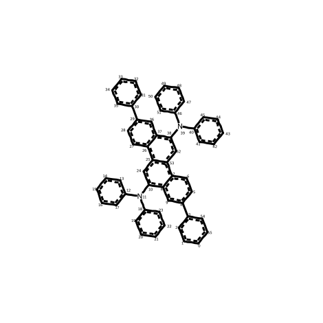 c1ccc(-c2ccc3c(c2)c(N(c2ccccc2)c2ccccc2)cc2c4ccc(-c5ccccc5)cc4c(N(c4ccccc4)c4ccccc4)cc32)cc1